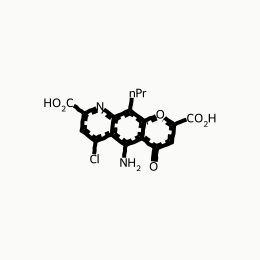 CCCc1c2nc(C(=O)O)cc(Cl)c2c(N)c2c(=O)cc(C(=O)O)oc12